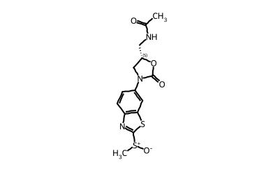 CC(=O)NC[C@H]1CN(c2ccc3nc([S+](C)[O-])sc3c2)C(=O)O1